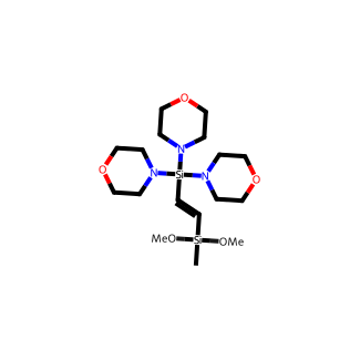 CO[Si](C)(C=C[Si](N1CCOCC1)(N1CCOCC1)N1CCOCC1)OC